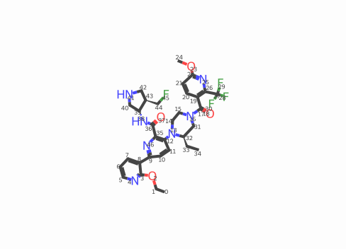 CCOc1ncccc1-c1ccc(N2CCN(C(=O)c3ccc(OC)nc3C(F)(F)F)C[C@H]2CC)c(C(=O)N[C@@H]2CNC[C@H]2CF)n1